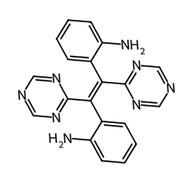 Nc1ccccc1C(=C(c1ncncn1)c1ccccc1N)c1ncncn1